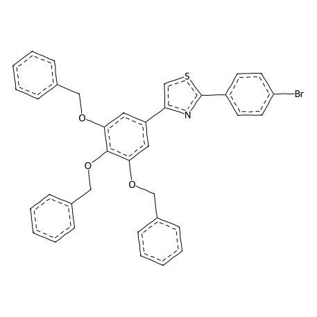 Brc1ccc(-c2nc(-c3cc(OCc4ccccc4)c(OCc4ccccc4)c(OCc4ccccc4)c3)cs2)cc1